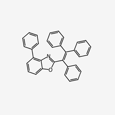 c1ccc(C(=C(c2ccccc2)c2nc3c(-c4ccccc4)cccc3o2)c2ccccc2)cc1